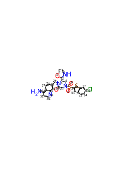 CCNC(=O)C1CN(S(=O)(=O)c2cc3ccc(Cl)cc3s2)CC(=O)N1Cc1ccc2c(N)ccnc2c1